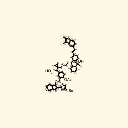 CC(=O)Oc1ccc(C(C(=O)O)C2(CSCC[C@H](c3cccc(C=Cc4ccc5sc(Cl)c(Cl)c5n4)c3)c3ccccc3C(C)(C)O)CC2)cc1COc1c2ccocc-2cc1-c1nc(C(C)(C)C)cs1